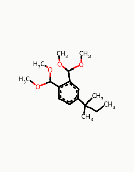 CCC(C)(C)c1ccc(C(OC)OC)c(C(OC)OC)c1